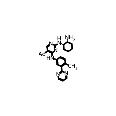 CC(=O)c1cnc(N[C@@H]2CCCC[C@@H]2N)nc1Nc1ccc(C)c(-c2ncccn2)c1